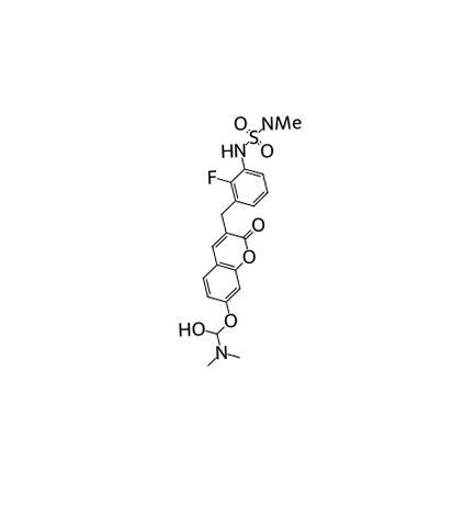 CNS(=O)(=O)Nc1cccc(Cc2cc3ccc(OC(O)N(C)C)cc3oc2=O)c1F